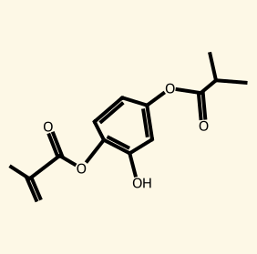 C=C(C)C(=O)Oc1ccc(OC(=O)C(C)C)cc1O